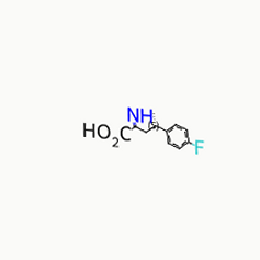 C[C@@H](CC(=N)C(=O)O)c1ccc(F)cc1